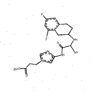 CCCC(NC1CCc2cc(F)cc(F)c2C1)C(=O)Nc1cn(CCC(=O)OC)cn1